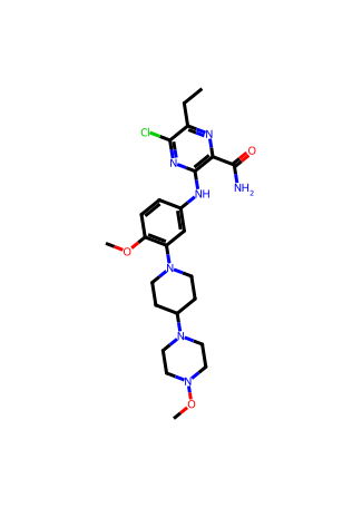 CCc1nc(C(N)=O)c(Nc2ccc(OC)c(N3CCC(N4CCN(OC)CC4)CC3)c2)nc1Cl